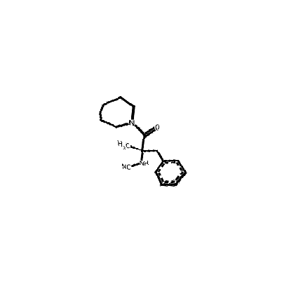 C[C@@](Cc1ccccc1)(NC#N)C(=O)N1CCCCC1